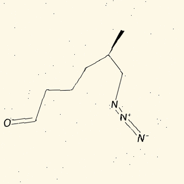 C[C@H](CCCC=O)CN=[N+]=[N-]